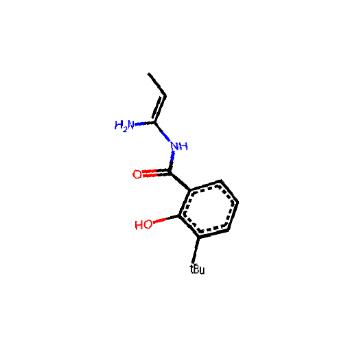 CC=C(N)NC(=O)c1cccc(C(C)(C)C)c1O